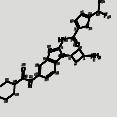 N[C@H]1C[C@@H](n2c(NC(=O)c3ccc(C(F)F)s3)nc3cc(NC(=O)C4CCCCC4)ccc32)C1